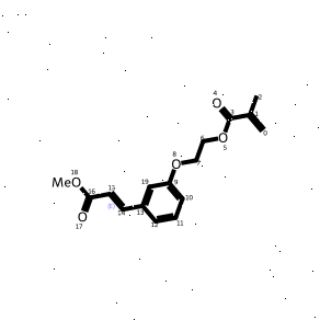 C=C(C)C(=O)OCCOc1cccc(/C=C/C(=O)OC)c1